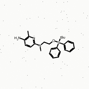 Cc1nc(N(C)CCO[Si](c2ccccc2)(c2ccccc2)C(C)(C)C)ccc1N